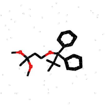 COC(C)(CCO[Si](c1ccccc1)(c1ccccc1)C(C)(C)C)OC